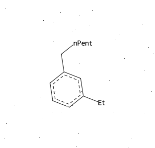 [CH2]Cc1cccc(CCCCCC)c1